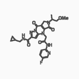 COCC(C)N1Cc2c(n(CC(=O)Nc3ccc(F)cn3)c3cc(C(=O)NCC4CC4)nn3c2=O)C1=O